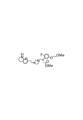 COCCOc1ccc(F)c([C@H](CC(=O)OC)CN2CC[C@@H](CCc3ccc4c(n3)NCCC4)C2)c1